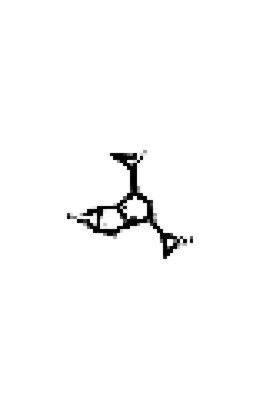 C1OC1C1CC(C2CO2)C2C1CC1OC12